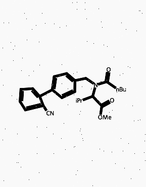 CCCCC(=O)N(Cc1ccc(-c2ccccc2C#N)cc1)C(C(=O)OC)C(C)C